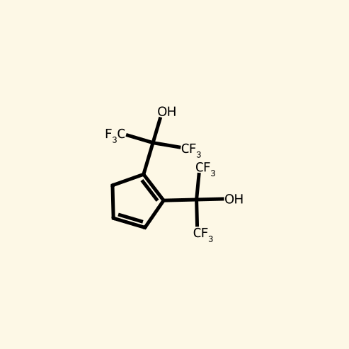 OC(C1=C(C(O)(C(F)(F)F)C(F)(F)F)CC=C1)(C(F)(F)F)C(F)(F)F